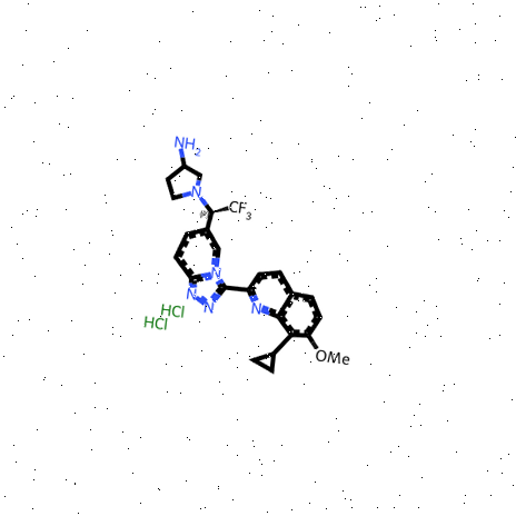 COc1ccc2ccc(-c3nnc4ccc([C@@H](N5CCC(N)C5)C(F)(F)F)cn34)nc2c1C1CC1.Cl.Cl